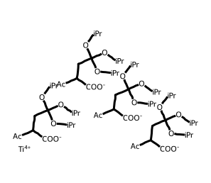 CC(=O)C(CC(OC(C)C)(OC(C)C)OC(C)C)C(=O)[O-].CC(=O)C(CC(OC(C)C)(OC(C)C)OC(C)C)C(=O)[O-].CC(=O)C(CC(OC(C)C)(OC(C)C)OC(C)C)C(=O)[O-].CC(=O)C(CC(OC(C)C)(OC(C)C)OC(C)C)C(=O)[O-].[Ti+4]